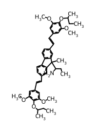 CCC(C)Oc1c(OC)cc(/C=C/c2ccc3c(c2)C(C)(C(N)CC)c2cc(/C=C/c4cc(OC)c(OC(C)CC)c(OC)c4)ccc2-3)cc1OC